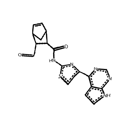 O=CC1C2C=CC(C2)C1C(=O)Nc1nc(-c2ncnc3[nH]ccc23)cs1